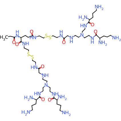 CCC(=O)NC(CCC(=O)NCCSSCCNC(=O)CNCCN(CCNC(=O)C(N)CCCN)CCNC(=O)C(N)CCCN)C(=O)NCCSSCCNC(=O)CNCCN(CCNC(=O)C(N)CCCN)CCNC(=O)C(N)CCCN